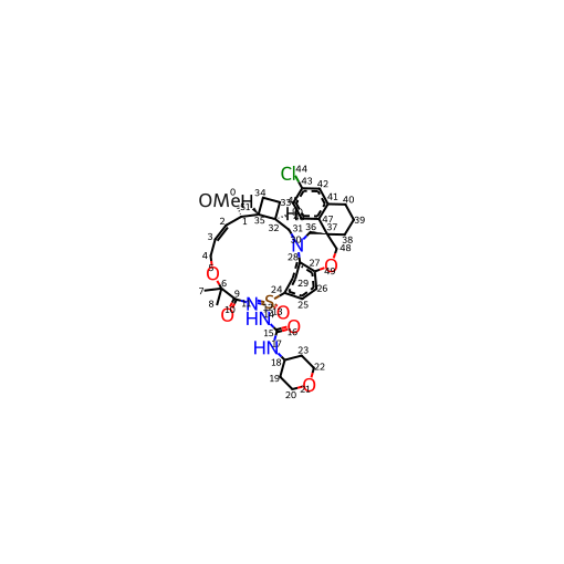 CO[C@H]1C=CCOC(C)(C)C(=O)N=S(=O)(NC(=O)NC2CCOCC2)c2ccc3c(c2)N(C[C@@H]2CC[C@H]21)C[C@@]1(CCCc2cc(Cl)ccc21)CO3